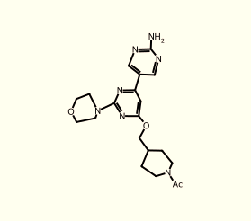 CC(=O)N1CCC(COc2cc(-c3cnc(N)nc3)nc(N3CCOCC3)n2)CC1